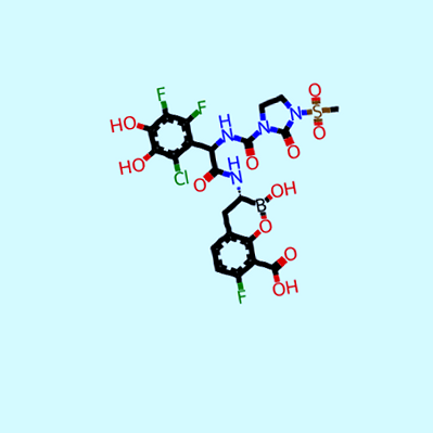 CS(=O)(=O)N1CCN(C(=O)NC(C(=O)N[C@H]2Cc3ccc(F)c(C(=O)O)c3OB2O)c2c(F)c(F)c(O)c(O)c2Cl)C1=O